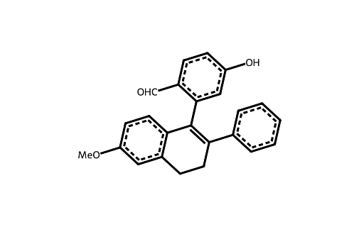 COc1ccc2c(c1)CCC(c1ccccc1)=C2c1cc(O)ccc1C=O